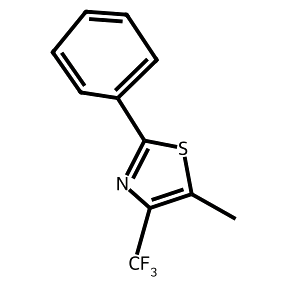 Cc1sc(-c2ccccc2)nc1C(F)(F)F